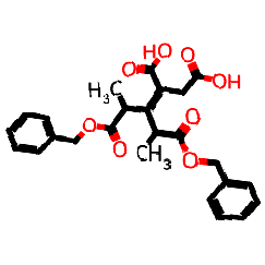 CC(C(=O)OCc1ccccc1)C(=C(CC(=O)O)C(=O)O)C(C)C(=O)OCc1ccccc1